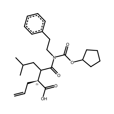 C=CC[C@H](C(=O)O)C(CC(C)C)C(=O)N(CCc1ccccc1)C(=O)OC1CCCC1